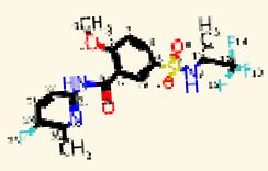 COc1ccc(S(=O)(=O)N[C@H](C)C(F)(F)F)cc1C(=O)Nc1ccc(F)c(C)n1